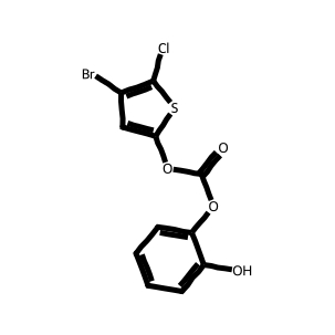 O=C(Oc1cc(Br)c(Cl)s1)Oc1ccccc1O